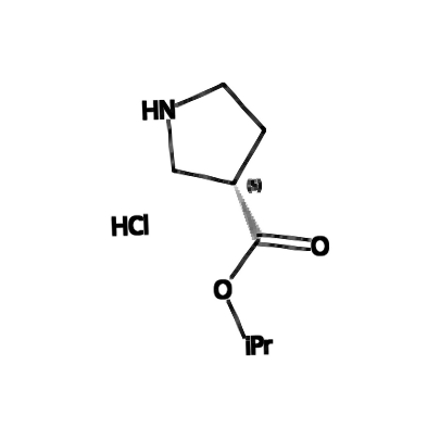 CC(C)OC(=O)[C@H]1CCNC1.Cl